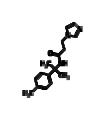 Cc1ccc(C(C)(C)NC(=O)CCn2ccnc2)cc1